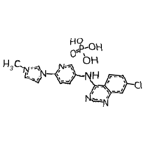 C[n+]1ccn(-c2ccc(Nc3ncnc4cc(Cl)ccc34)cn2)c1.O=P(O)(O)O